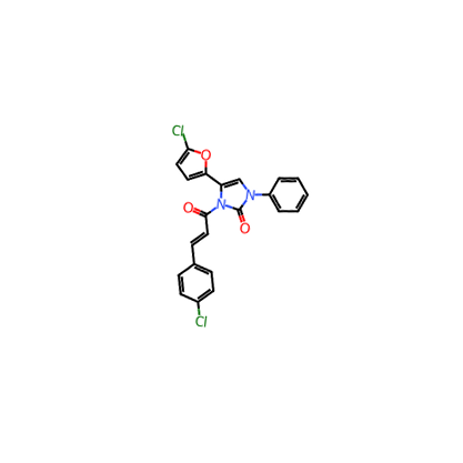 O=C(C=Cc1ccc(Cl)cc1)n1c(-c2ccc(Cl)o2)cn(-c2ccccc2)c1=O